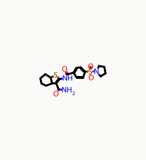 NC(=O)C1=C(NC(=O)c2ccc(S(=O)(=O)N3CCCC3)cc2)SC2CCCCC12